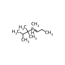 CC/C=[PH](\C)C(C)(C)C(C)C